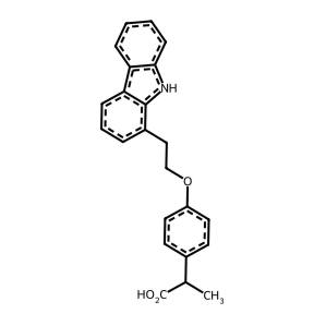 CC(C(=O)O)c1ccc(OCCc2cccc3c2[nH]c2ccccc23)cc1